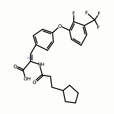 O=C(CCC1CCCC1)N/C(=C\c1ccc(Oc2cccc(C(F)(F)F)c2F)cc1)C(=O)O